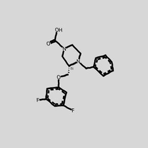 O=C(O)N1CCN(Cc2ccccc2)[C@H](COc2cc(F)cc(F)c2)C1